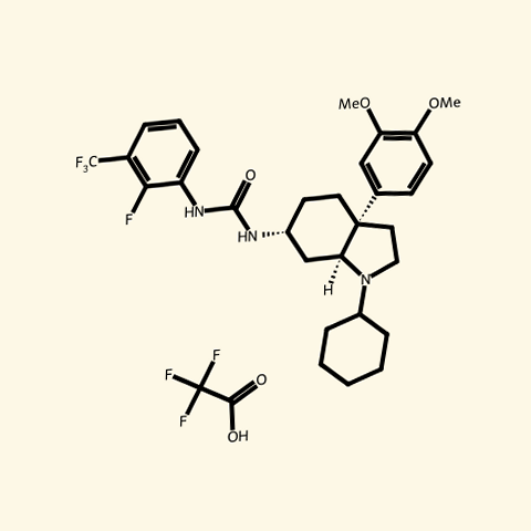 COc1ccc([C@@]23CC[C@@H](NC(=O)Nc4cccc(C(F)(F)F)c4F)C[C@@H]2N(C2CCCCC2)CC3)cc1OC.O=C(O)C(F)(F)F